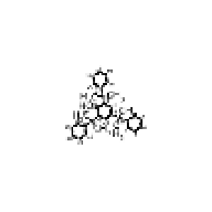 CC(C)(c1ccccc1)c1cc(C(C)(C)c2ccccc2)c(O)c(C(C)(C)c2ccccc2)c1